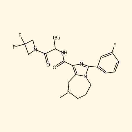 CN1CCCn2c(-c3cccc(F)c3)nc(C(=O)NC(C(=O)N3CC(F)(F)C3)C(C)(C)C)c2C1